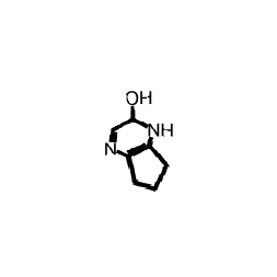 OC1C=NC2=C(CCC2)N1